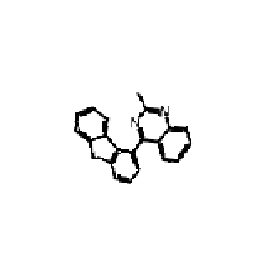 Cc1nc(-c2cccc3c2-c2ccccc2C3)c2ccccc2n1